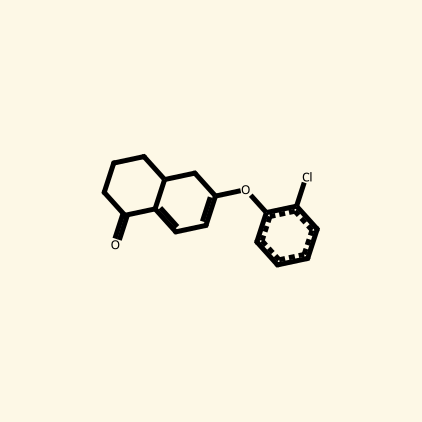 O=C1CCCC2CC(Oc3ccccc3Cl)=CC=C12